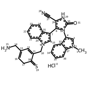 Cl.Cn1cc(-n2c(-c3cn(CC4=CC(CN)=CCC4=S)c4ccccc34)c(C#N)[nH]c2=O)c2ccccc21